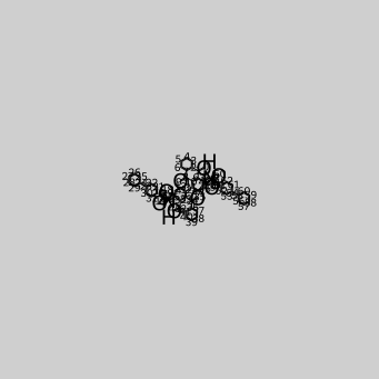 O=C1c2ccccc2C(=O)c2c(-c3ccc(NS(=O)(=O)c4ccc(-c5ccccc5)cc4)c4c3C(=O)c3ccccc3C4=O)ccc(NS(=O)(=O)c3ccc(-c4ccccc4)cc3)c21